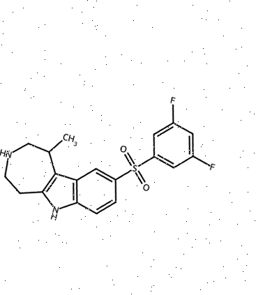 CC1CNCCc2[nH]c3ccc(S(=O)(=O)c4cc(F)cc(F)c4)cc3c21